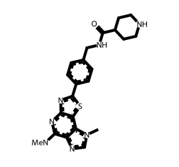 CNc1nc2nc(-c3ccc(CNC(=O)C4CCNCC4)cc3)sc2c2c1ncn2C